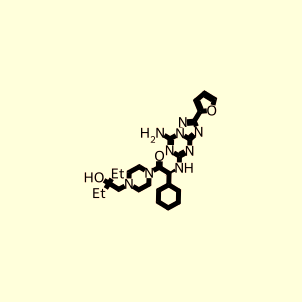 CCC(O)(CC)CN1CCN(C(=O)[C@@H](Nc2nc(N)n3nc(-c4ccco4)nc3n2)C2CCCCC2)CC1